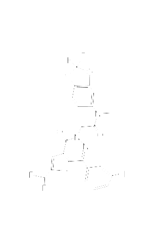 CN(C(=O)Cn1nc(-c2cccc(Cl)c2)c2oc(C(F)F)cc2c1=O)c1ccc2c(c1)OC(F)(F)O2